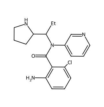 CCC(C1CCCN1)N(C(=O)c1c(N)cccc1Cl)c1cccnc1